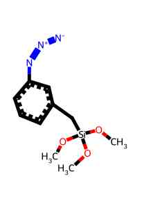 CO[Si](Cc1cccc(N=[N+]=[N-])c1)(OC)OC